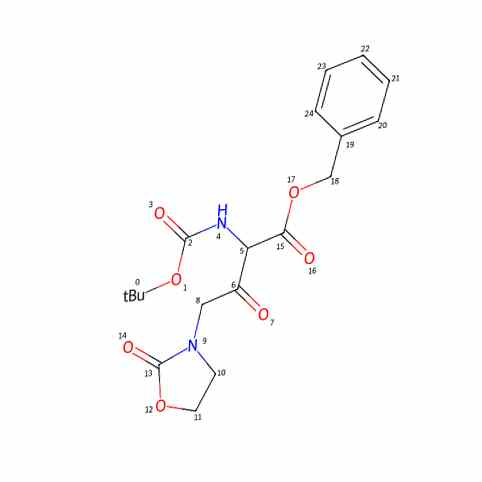 CC(C)(C)OC(=O)NC(C(=O)CN1CCOC1=O)C(=O)OCc1ccccc1